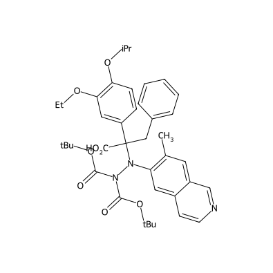 CCOc1cc(C(Cc2ccccc2)(C(=O)O)N(c2cc3ccncc3cc2C)N(C(=O)OC(C)(C)C)C(=O)OC(C)(C)C)ccc1OC(C)C